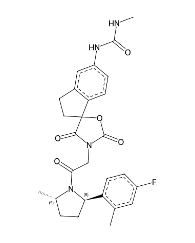 CNC(=O)Nc1ccc2c(c1)CCC21OC(=O)N(CC(=O)N2[C@@H](c3ccc(F)cc3C)CC[C@@H]2C)C1=O